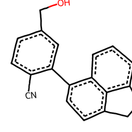 N#Cc1ccc(CO)cc1-c1ccc2c3c(cccc13)CC2